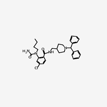 CCCCN(C(N)=O)c1cc(Cl)ccc1C(=O)NCC1CCN(C(c2ccccc2)c2ccccc2)CC1